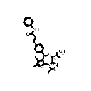 Cc1sc2c(c1C)C(c1ccc(C=CC(=O)Nc3ccccc3)cc1)=N[C@@H](C(C)C(=O)O)c1nnc(C)n1-2